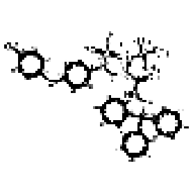 CC(C)(C)[Si](C)(C)O[C@@H](CN(c1ccc(Oc2ccc(Cl)cc2)cc1)S(C)(=O)=O)C(=O)NOC(c1ccccc1)(c1ccccc1)c1ccccc1